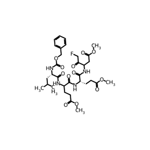 COC(=O)CCC(NC(=O)[C@H](CC(C)C)NC(=O)OCc1ccccc1)C(=O)N[C@@H](CCC(=O)OC)C(=O)NC(CC(=O)OC)C(=O)CF